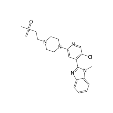 C=S(C)(=O)CCN1CCN(c2cc(-c3nc4ccccc4n3C)c(Cl)cn2)CC1